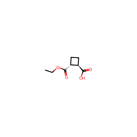 CCOC(=O)[C@@H]1CC[C@H]1C(=O)O